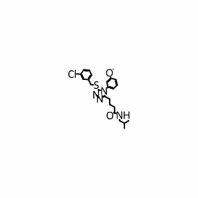 COc1cccc(-n2c(CCCC(=O)NCC(C)C)nnc2SCc2cccc(Cl)c2)c1